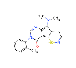 Cc1ccccc1-n1cnc2c(c1=O)=C1[SH]N=CC=C1C=2N(C)C